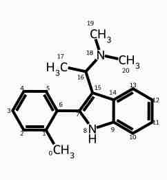 Cc1ccccc1-c1[nH]c2ccccc2c1C(C)N(C)C